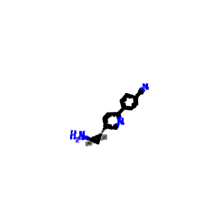 N#Cc1ccc(-c2ccc([C@@H]3C[C@H]3N)cn2)cc1